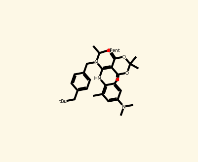 CCCCCC(C)N(Cc1ccc(CC(C)(C)C)cc1)C(Nc1c(C)cc(N(C)C)cc1C)=C1C(=O)OC(C)(C)OC1=O